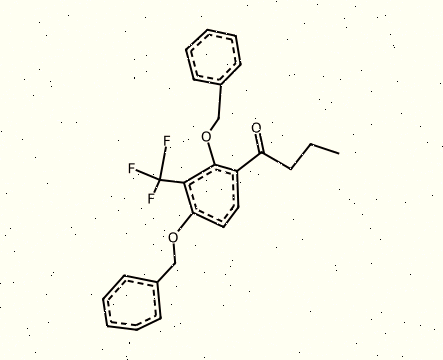 CCCC(=O)c1ccc(OCc2ccccc2)c(C(F)(F)F)c1OCc1ccccc1